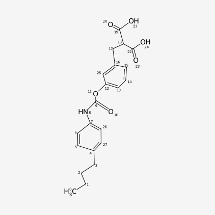 CCCCc1ccc(NC(=O)Oc2cccc(CC(C(=O)O)C(=O)O)c2)cc1